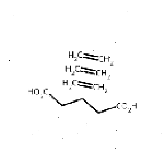 C=C.C=C.C=C.O=C(O)CCCC(=O)O